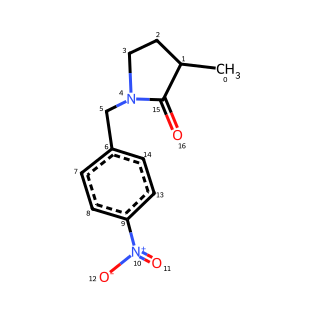 CC1CCN(Cc2ccc([N+](=O)[O-])cc2)C1=O